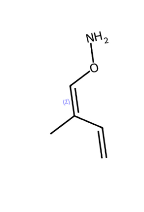 C=C/C(C)=C\ON